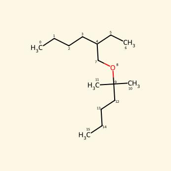 CCCCC(CC)COC(C)(C)CCCC